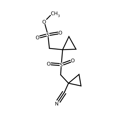 COS(=O)(=O)CC1(S(=O)(=O)CC2(C#N)CC2)CC1